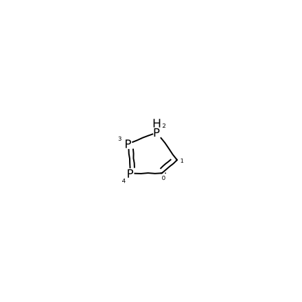 [c]1c[pH]pp1